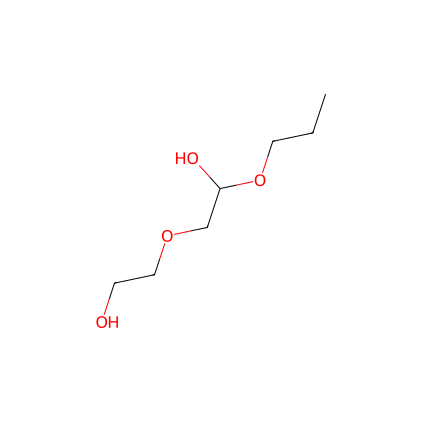 CCCOC(O)COCCO